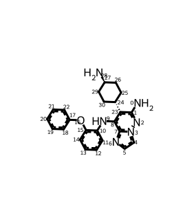 Nc1nn2ccnc2c(Nc2ccccc2Oc2ccccc2)c1[C@H]1CC[C@H](N)CC1